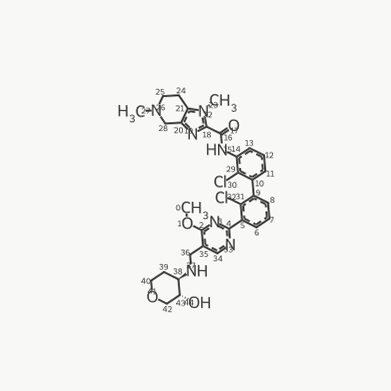 COc1nc(-c2cccc(-c3cccc(NC(=O)c4nc5c(n4C)CCN(C)C5)c3Cl)c2Cl)ncc1CN[C@@H]1CCOC[C@H]1O